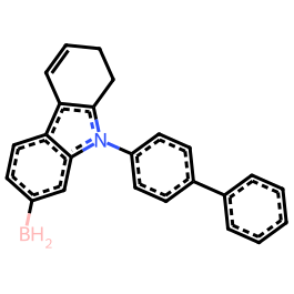 Bc1ccc2c3c(n(-c4ccc(-c5ccccc5)cc4)c2c1)CCC=C3